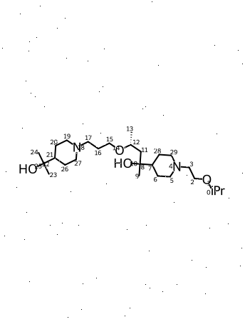 CC(C)OCCN1CCC(C(C)(O)C[C@@H](C)OCCCN2CCC(C(C)(C)O)CC2)CC1